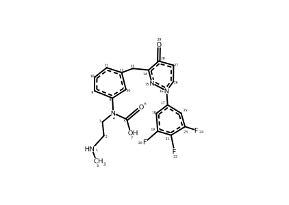 CNCCN(C(=O)O)c1cccc(Cc2nn(-c3cc(F)c(F)c(F)c3)ccc2=O)c1